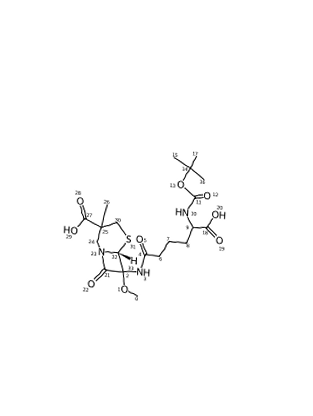 COC1(NC(=O)CCCC(NC(=O)OC(C)(C)C)C(=O)O)C(=O)N2CC(C)(C(=O)O)CS[C@@H]21